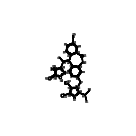 CC(=C1c2ccc(Cn3c(C(C)C)nc(Cl)c3Cl)cc2COc2cc(F)ccc21)c1noc(=O)[nH]1